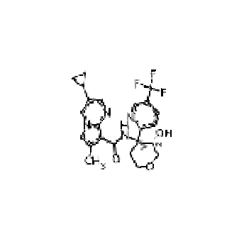 Cc1cn2cc(C3CC3)cnc2c1C(=O)N[C@]1(c2ccc(C(F)(F)F)cn2)CCOC[C@H]1O